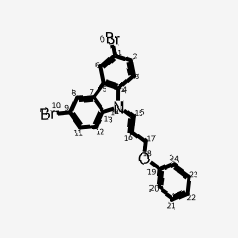 Brc1ccc2c(c1)c1cc(Br)ccc1n2C=CCOc1ccccc1